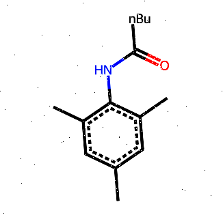 CCCCC(=O)Nc1c(C)cc(C)cc1C